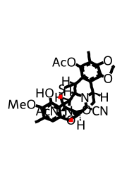 COc1c(C)cc2c(c1O)[C@@H]1[C@@H]3[C@@H]4SCC(NC(C)=O)C(=O)OC[C@@H](c5c6c(c(C)c(OC(C)=O)c54)OCO6)N3[C@@H](C#N)[C@@H](C2)N1C